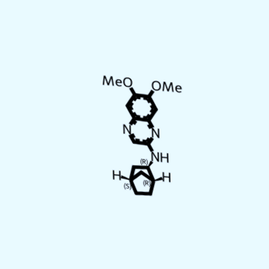 COc1cc2ncc(N[C@@H]3C[C@H]4CC[C@@H]3C4)nc2cc1OC